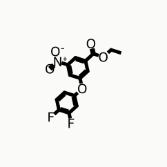 CCOC(=O)c1cc(Oc2ccc(F)c(F)c2)cc([N+](=O)[O-])c1